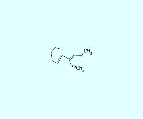 C=CC=C(C=C)C1=CCCCC1